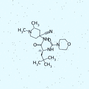 CC1CC(C#N)(NC(=O)[C@H](CC(C)(C)C)NC(=O)N2CCOCC2)CCN1C